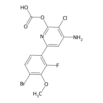 COc1c(Br)ccc(-c2cc(N)c(Cl)c(OC(=O)O)n2)c1F